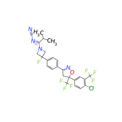 CC(C)/C(=N\C#N)N1CC(F)(c2ccc(C3=NOC(c4ccc(Cl)c(C(F)(F)F)c4)(C(F)(F)F)C3)cc2)C1